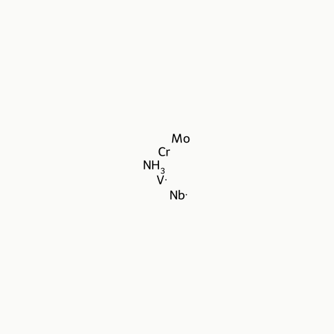 N.[Cr].[Mo].[Nb].[V]